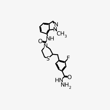 Cn1ncc2cccc(NC(=O)N3CCSC(Cc4ccc(C(=O)NN)cc4F)C3)c21